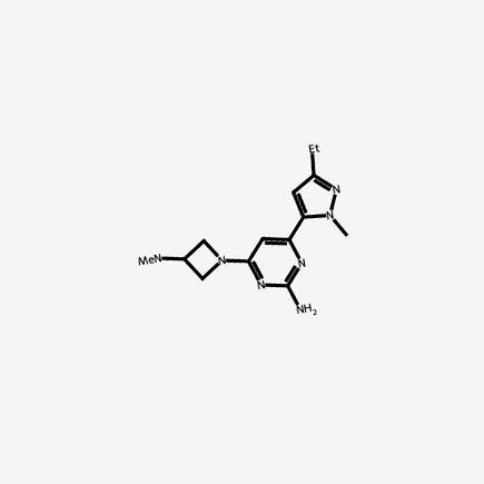 CCc1cc(-c2cc(N3CC(NC)C3)nc(N)n2)n(C)n1